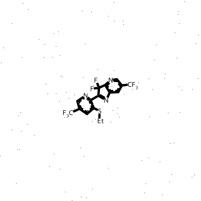 CCSc1cc(C(F)(F)F)cnc1C1=Nc2cc(C(F)(F)F)cnc2C1(F)F